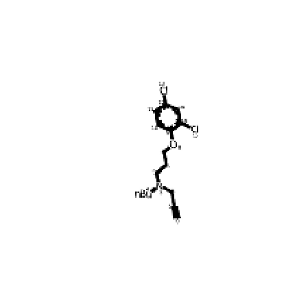 C#CCN(CCCC)CCCOc1ccc(Cl)cc1Cl